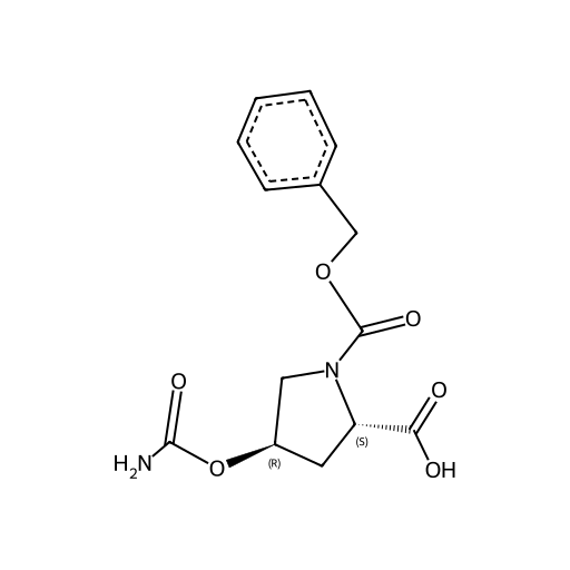 NC(=O)O[C@@H]1C[C@@H](C(=O)O)N(C(=O)OCc2ccccc2)C1